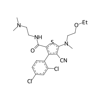 CCOCCN(C)c1sc(C(=O)NCCN(C)C)c(-c2ccc(Cl)cc2Cl)c1C#N